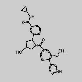 COc1cc(C(=O)N2CC(O)CC2c2cccc(C(=O)NC3CC3)c2)ccc1-c1cn[nH]c1